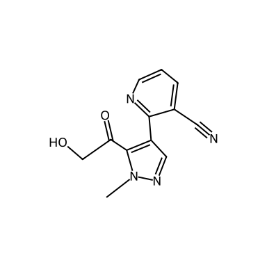 Cn1ncc(-c2ncccc2C#N)c1C(=O)CO